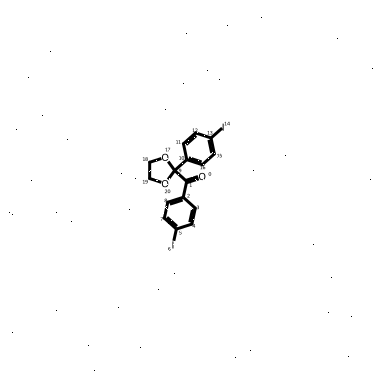 O=C(c1ccc(I)cc1)C1(c2ccc(I)cc2)OCCO1